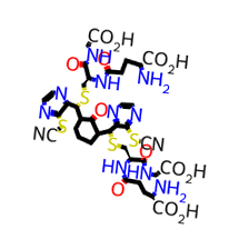 N#CSc1nccnc1C(SC[C@H](NC(=O)CC[C@@H](N)C(=O)O)C(=O)NCC(=O)O)C1CCCC(C(SC[C@H](NC(=O)CC[C@H](N)C(=O)O)C(=O)NCC(=O)O)c2nccnc2SC#N)C1=O